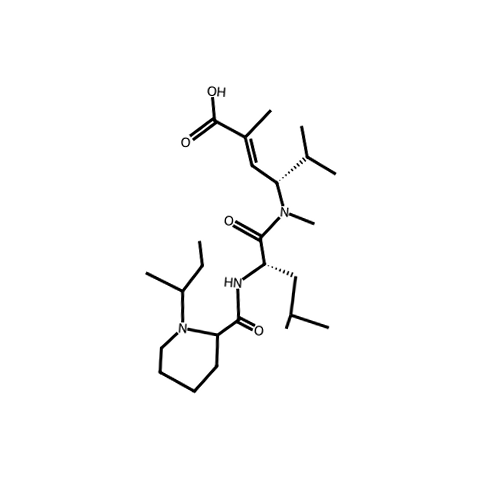 CCC(C)N1CCCCC1C(=O)N[C@@H](CC(C)C)C(=O)N(C)[C@H](/C=C(\C)C(=O)O)C(C)C